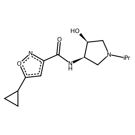 CC(C)N1C[C@H](O)[C@H](NC(=O)c2cc(C3CC3)on2)C1